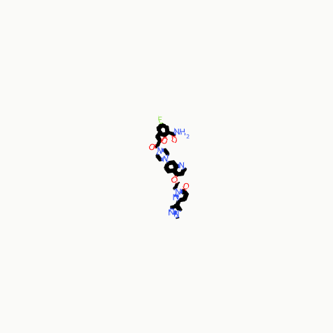 Cn1cc(-c2ccc(=O)n(CCOc3ccnc4cc(N5CCN(C(=O)c6cc7cc(F)cc(C(N)=O)c7o6)CC5)ccc34)n2)cn1